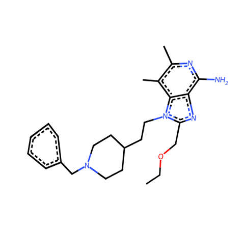 CCOCc1nc2c(N)nc(C)c(C)c2n1CCC1CCN(Cc2ccccc2)CC1